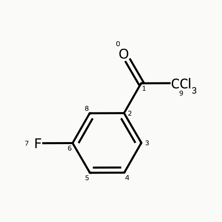 O=C(c1cccc(F)c1)C(Cl)(Cl)Cl